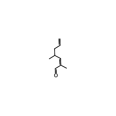 C=CCC(C)C=C(C)C=O